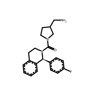 NCC1CCN(C(=O)N2CCc3ccccc3[C@@H]2c2ccc(F)cc2)C1